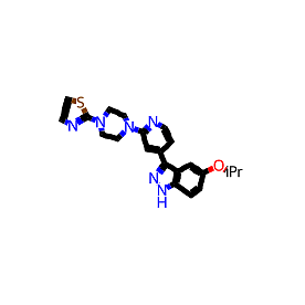 CC(C)Oc1ccc2[nH]nc(-c3ccnc(N4CCN(c5nccs5)CC4)c3)c2c1